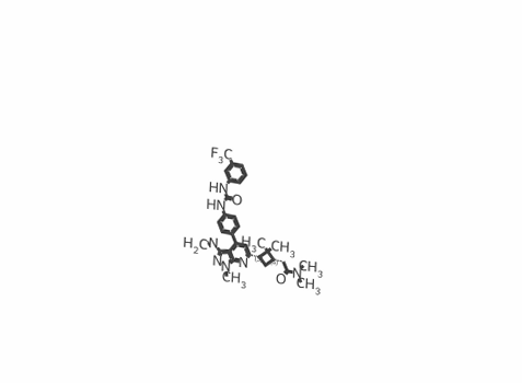 C=Nc1nn(C)c2nc([C@H]3C[C@@H](CC(=O)N(C)C)C3(C)C)cc(-c3ccc(NC(=O)Nc4cccc(C(F)(F)F)c4)cc3)c12